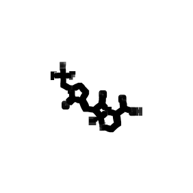 O=C(O)C1=CCS[C@H]2C(/C=C3\CCN(CC(F)(F)F)C3=O)C(=O)N12